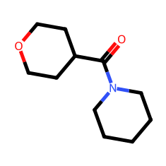 O=C(C1CCOCC1)N1CCCCC1